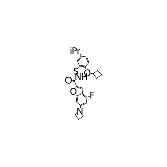 CC(C)c1ccc(OC2CCC2)c(SNC(=O)c2cc3c(F)cc(N4CCC4)cc3o2)c1